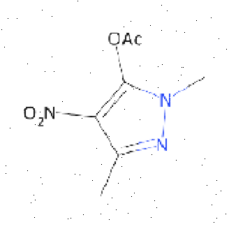 CC(=O)Oc1c([N+](=O)[O-])c(C)nn1C